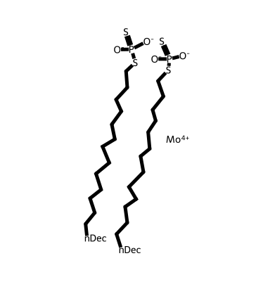 CCCCCCCCCCCCCCCCCCCCCCCSP([O-])([O-])=S.CCCCCCCCCCCCCCCCCCCCCCCSP([O-])([O-])=S.[Mo+4]